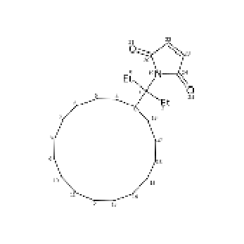 CCC(CC)(C1CCCCCCCCCCCCCCC1)N1C(=O)C=CC1=O